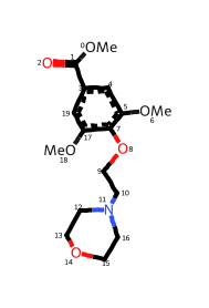 COC(=O)c1cc(OC)c(OCCN2CCOCC2)c(OC)c1